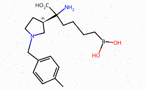 Cc1ccc(CN2CC[C@@H](C(N)(CCCCB(O)O)C(=O)O)C2)cc1